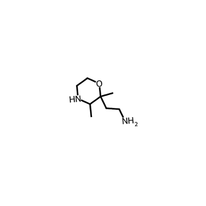 CC1NCCOC1(C)CCN